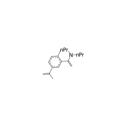 C=C(C)c1ccc(C)c(C(=C)N(CCC)CCC)c1